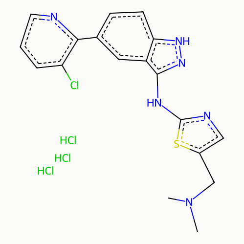 CN(C)Cc1cnc(Nc2n[nH]c3ccc(-c4ncccc4Cl)cc23)s1.Cl.Cl.Cl